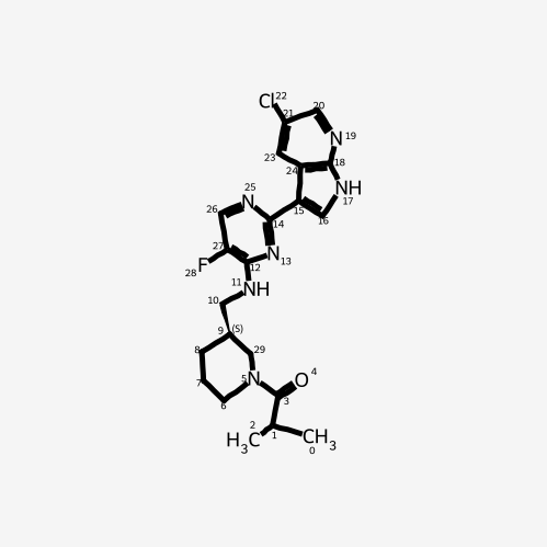 CC(C)C(=O)N1CCC[C@@H](CNc2nc(-c3c[nH]c4ncc(Cl)cc34)ncc2F)C1